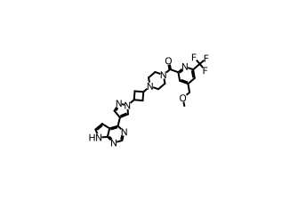 COCc1cc(C(=O)N2CCN(C3CC(n4cc(-c5ncnc6[nH]ccc56)cn4)C3)CC2)nc(C(F)(F)F)c1